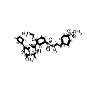 CCOc1ccc(S(=O)(=O)NCCc2ccc(S(N)(=O)=O)cc2)cc1-c1nc2c(C3CCCC3)nc(C)n2c(=O)[nH]1